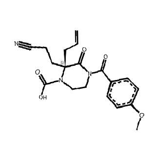 C=CC[C@@]1(CCC#N)C(=O)N(C(=O)c2ccc(OC)cc2)CCN1C(=O)O